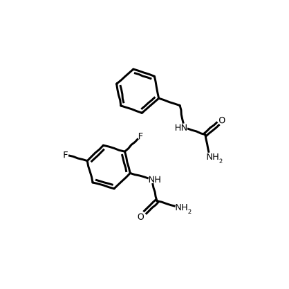 NC(=O)NCc1ccccc1.NC(=O)Nc1ccc(F)cc1F